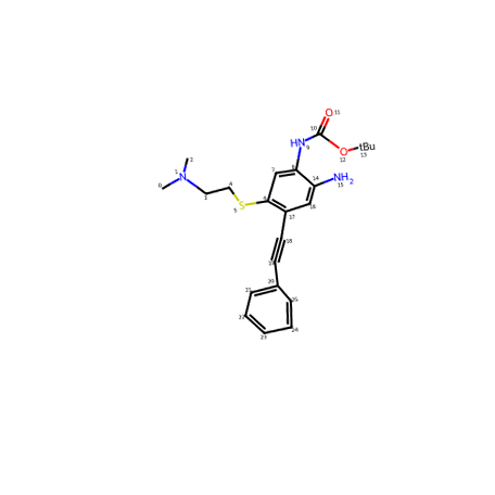 CN(C)CCSc1cc(NC(=O)OC(C)(C)C)c(N)cc1C#Cc1ccccc1